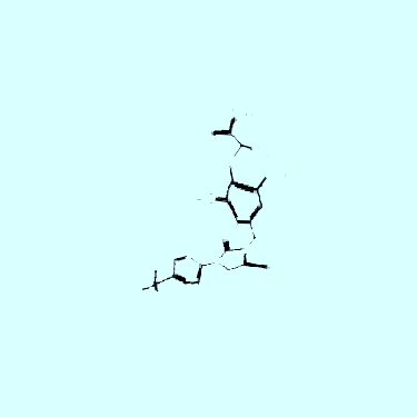 Cc1cc(CN2C(=O)CN(c3ccc(C(F)(F)F)cc3)C2=O)cc(C)c1OC(C)C(=O)O